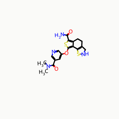 CN(C)C(=O)c1cncc(Oc2sc(C(N)=O)c3c2C2=C(CC3)CNS2)c1